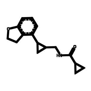 O=C(NCC1CC1c1cccc2c1CCO2)C1CC1